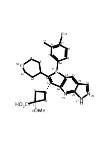 CO[C@]1(C(=O)O)C[C@H](c2c(C3CCOCC3)n(-c3ccc(F)c(C)c3)c3cc4cn[nH]c4nc32)C1